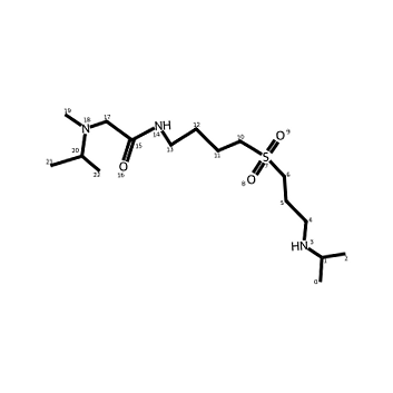 CC(C)NCCCS(=O)(=O)CCCCNC(=O)CN(C)C(C)C